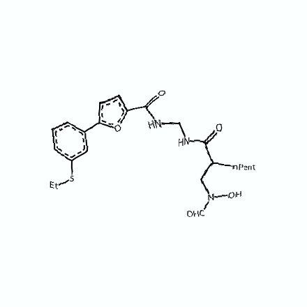 CCCCCC(CN(O)C=O)C(=O)NCNC(=O)c1ccc(-c2cccc(SCC)c2)o1